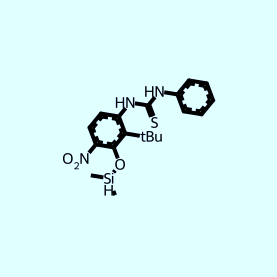 C[SiH](C)Oc1c([N+](=O)[O-])ccc(NC(=S)Nc2ccccc2)c1C(C)(C)C